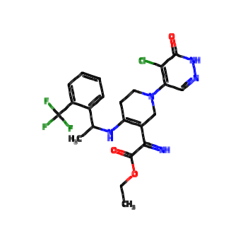 CCOC(=O)C(=N)C1=C(NC(C)c2ccccc2C(F)(F)F)CCN(c2cn[nH]c(=O)c2Cl)C1